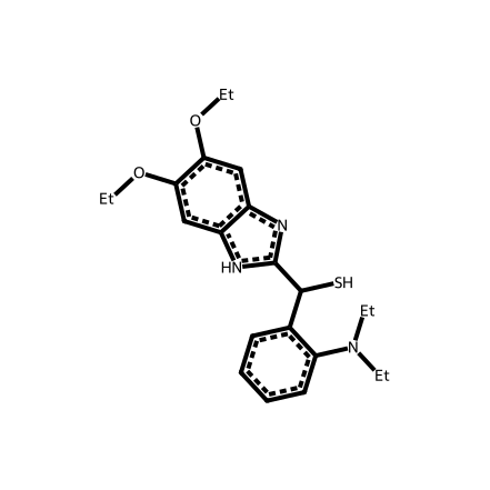 CCOc1cc2nc(C(S)c3ccccc3N(CC)CC)[nH]c2cc1OCC